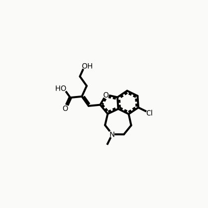 CN1CCc2c(Cl)ccc3oc(/C=C(\CCO)C(=O)O)c(c23)C1